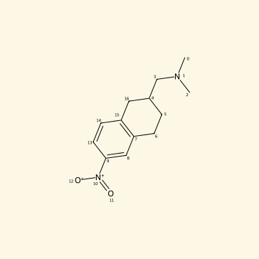 CN(C)CC1CCc2cc([N+](=O)[O-])ccc2C1